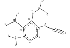 C#CCc1ccc(C(C)C)c(C(C)C)c1OC(C)C